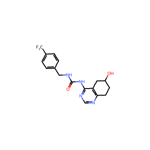 O=C(NCc1ccc(C(F)(F)F)cc1)Nc1ncnc2c1CC(O)CC2